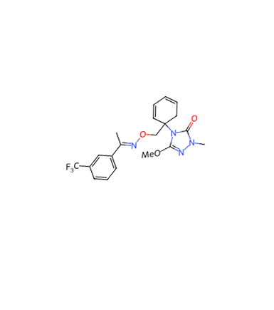 COc1nn(C)c(=O)n1C1(CON=C(C)c2cccc(C(F)(F)F)c2)C=CC=CC1